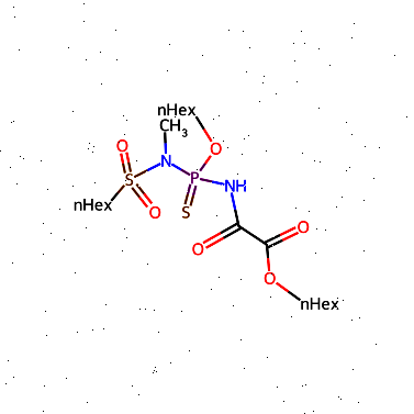 CCCCCCOC(=O)C(=O)NP(=S)(OCCCCCC)N(C)S(=O)(=O)CCCCCC